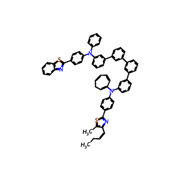 CC/C=C\c1nc(-c2ccc(N(C3=CCC=CC=C3)c3cccc(-c4cccc(-c5cccc(-c6cccc(N(c7ccccc7)c7ccc(-c8nc9ccccc9s8)cc7)c6)c5)c4)c3)cc2)sc1C